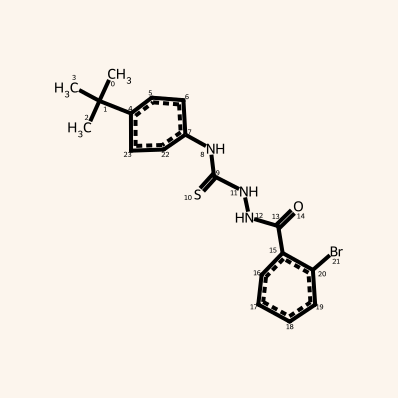 CC(C)(C)c1ccc(NC(=S)NNC(=O)c2ccccc2Br)cc1